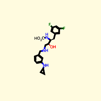 O=C(O)N[C@@H](Cc1cc(F)cc(F)c1)[C@@H](O)CNCc1cccc(NC2CC2)c1